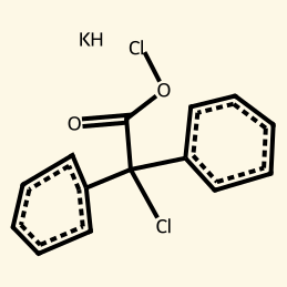 O=C(OCl)C(Cl)(c1ccccc1)c1ccccc1.[KH]